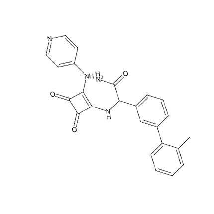 Cc1ccccc1-c1cccc(C(Nc2c(Nc3ccncc3)c(=O)c2=O)C(N)=O)c1